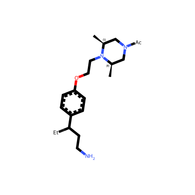 CCC(CCN)c1ccc(OCCN2[C@H](C)CN(C(C)=O)C[C@@H]2C)cc1